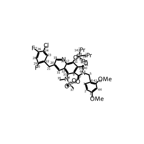 COc1ccc(CN2C(=O)c3c(c(O[Si](C(C)C)(C(C)C)C(C)C)c4ncc(Cc5cc(Cl)c(F)cc5F)cc4c3N(C)S(C)(=O)=O)C2=O)c(OC)c1